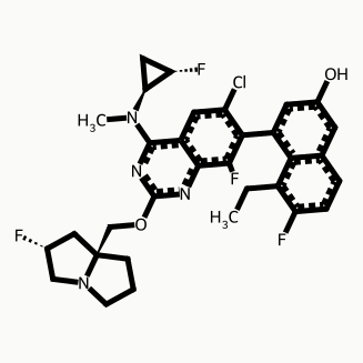 CCc1c(F)ccc2cc(O)cc(-c3c(Cl)cc4c(N(C)[C@H]5C[C@@H]5F)nc(OC[C@@]56CCCN5C[C@H](F)C6)nc4c3F)c12